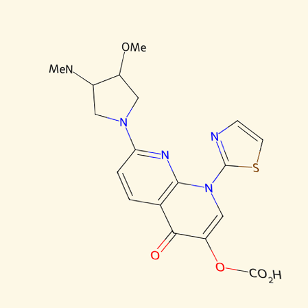 CNC1CN(c2ccc3c(=O)c(OC(=O)O)cn(-c4nccs4)c3n2)CC1OC